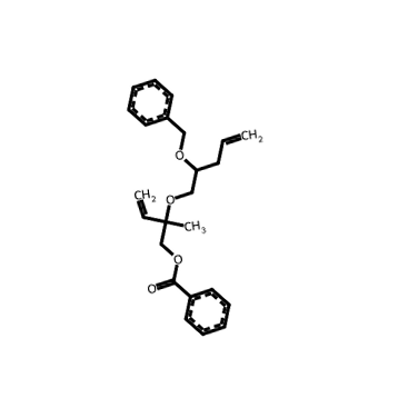 C=CCC(COC(C)(C=C)COC(=O)c1ccccc1)OCc1ccccc1